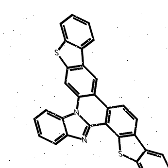 c1ccc2c(c1)nc1c3c(ccc4c5ccccc5sc43)c3cc4c(cc3n21)sc1ccccc14